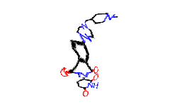 CN1CCC(CN2CCN(c3ccc4c(c3)C(=O)N(C3CCC(=O)NC3=O)C4=O)CC2)CC1